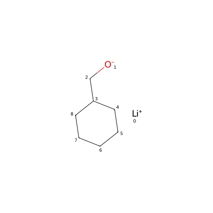 [Li+].[O-]CC1CCCCC1